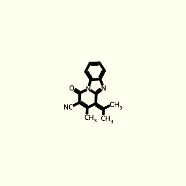 CC(C)=c1c(C)c(C#N)c(=O)n2c1nc1ccccc12